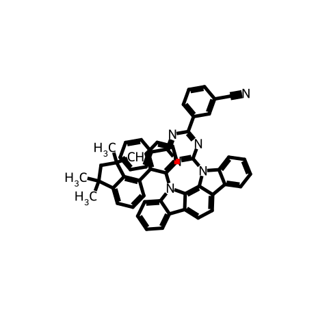 CC1(C)CC(C)(C)c2c(-c3ccccc3-n3c4ccccc4c4ccc5c6ccccc6n(-c6nc(-c7ccccc7)nc(-c7cccc(C#N)c7)n6)c5c43)cccc21